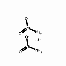 N[N+](=O)[O-].N[N+](=O)[O-].[LiH]